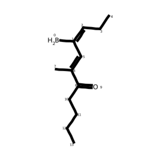 BC(=C/CC)/C=C(\C)C(=O)CCCC